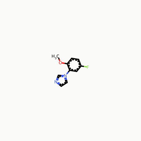 COc1ccc(F)cc1-n1ccnc1